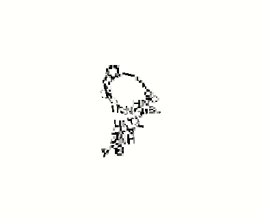 C=C[C@@H]1C[C@]1(NC(=O)[C@@H]1C[C@@H]2CN1C(=O)[C@H](CCCC)NC(=O)OCCC/C=C\c1cccc3c1CN(C3)C(=O)O2)C(=O)NS(=O)(=O)C1CC1